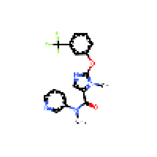 CN(C(=O)c1cnc(Oc2cccc(C(F)(F)F)c2)n1C)c1cccnc1